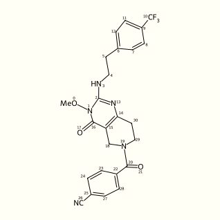 COn1c(NCCc2ccc(C(F)(F)F)cc2)nc2c(c1=O)CN(C(=O)c1ccc(C#N)cc1)CC2